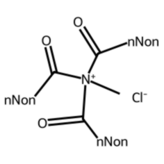 CCCCCCCCCC(=O)[N+](C)(C(=O)CCCCCCCCC)C(=O)CCCCCCCCC.[Cl-]